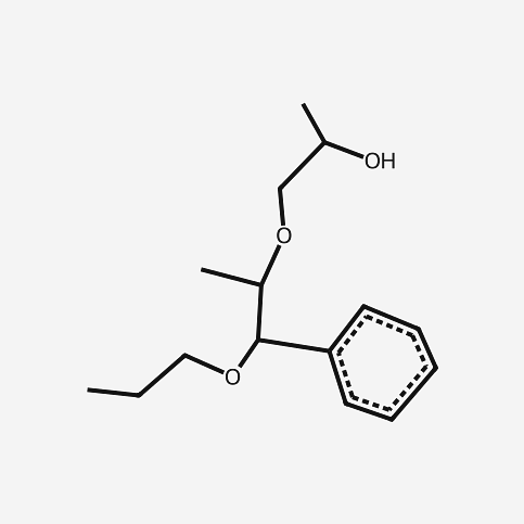 CCCOC(c1ccccc1)C(C)OCC(C)O